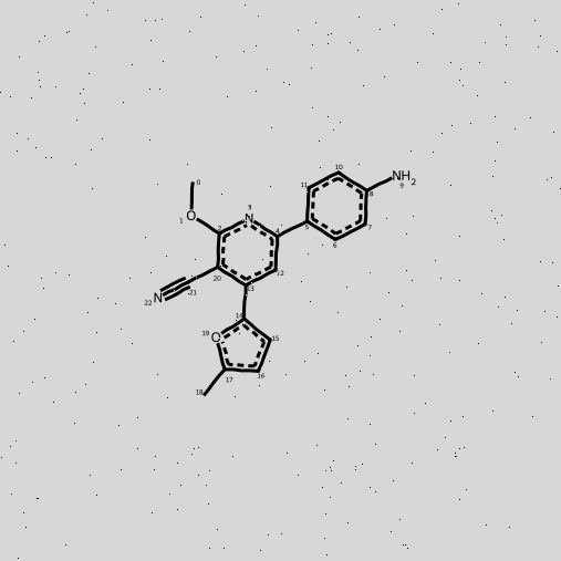 COc1nc(-c2ccc(N)cc2)cc(-c2ccc(C)o2)c1C#N